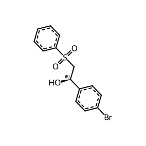 O=S(=O)(C[C@H](O)c1ccc(Br)cc1)c1ccccc1